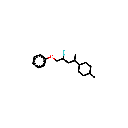 CC1CCC(C(C)CC(F)COc2ccccc2)CC1